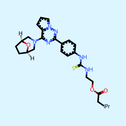 CC(C)CC(=O)OCCNC(=S)Nc1ccc(-c2nc(N3C[C@H]4CC[C@@H](C3)O4)c3cccn3n2)cc1